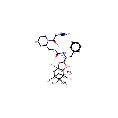 CC1(C)[C@@H]2C[C@H]3OB([C@H](Cc4ccccc4)NC(=O)NC[C@H]4CCCCN4C(=O)CC#N)O[C@@]3(C)[C@H]1C2